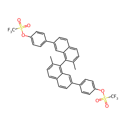 Cc1ccc2ccc(-c3ccc(OS(=O)(=O)C(F)(F)F)cc3)cc2c1-c1c(C)ccc2ccc(-c3ccc(OS(=O)(=O)C(F)(F)F)cc3)cc12